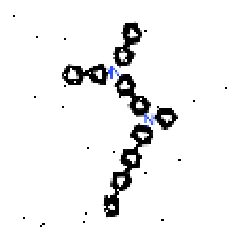 C1=CC2CC1CC2c1ccc(-c2ccc(-c3ccc(N(c4ccccc4)c4ccc(-c5ccc(N(c6ccc(-c7ccccc7)cc6)c6ccc(-c7ccccc7)cc6)cc5)cc4)cc3)cc2)cc1